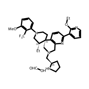 CCOc1ncccc1-c1ccc2c(n1)CN(C[C@H]1CCCN1)C[C@]21CCN(c2cccc(OC)c2C(F)(F)F)C[C@H]1CC.O=CO